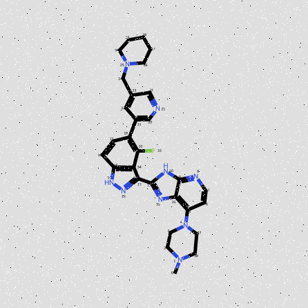 CN1CCN(c2ccnc3[nH]c(-c4n[nH]c5ccc(-c6cncc(CN7CCCCC7)c6)c(F)c45)nc23)CC1